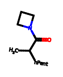 CCCCCC(C)C(=O)N1CCC1